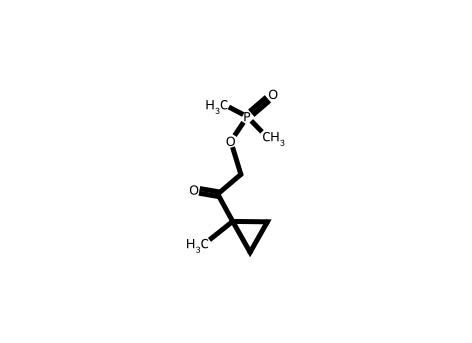 CC1(C(=O)COP(C)(C)=O)CC1